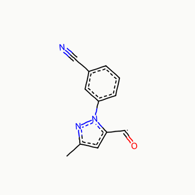 Cc1cc([C]=O)n(-c2cccc(C#N)c2)n1